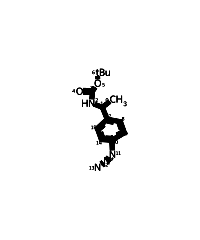 CC(NC(=O)OC(C)(C)C)c1ccc(N=[N+]=[N-])cc1